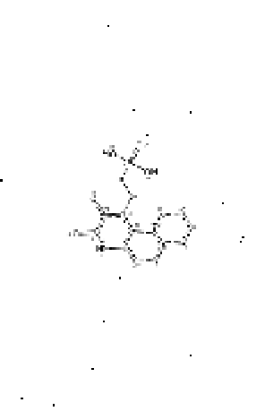 O=c1[nH]c2ccc3ccccc3c2n(CCP(=O)(O)O)c1=O